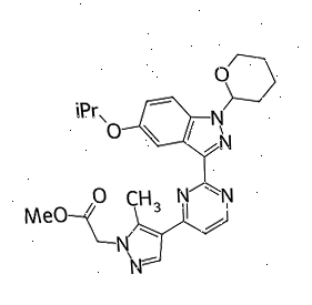 COC(=O)Cn1ncc(-c2ccnc(-c3nn(C4CCCCO4)c4ccc(OC(C)C)cc34)n2)c1C